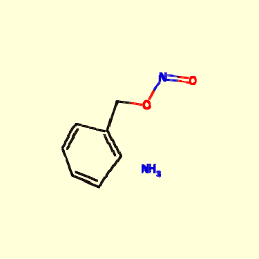 N.O=NOCc1ccccc1